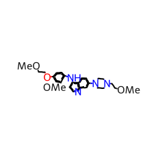 COCCOc1ccc(Nc2ccnc3cc(N4CCN(CCOC)CC4)ccc23)c(OC)c1